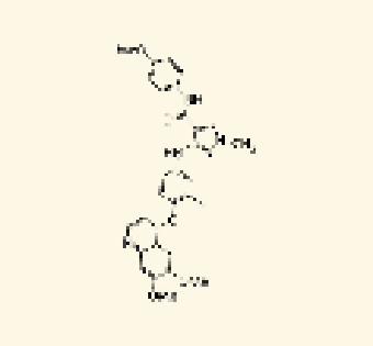 COc1ccc(NC(=O)c2cn(C)nc2Nc2ccc(Oc3ccnc4cc(OC)c(OC)cc34)c(F)c2)cc1